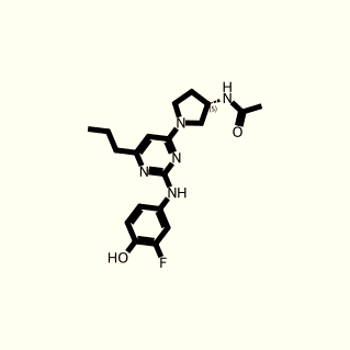 CCCc1cc(N2CC[C@H](NC(C)=O)C2)nc(Nc2ccc(O)c(F)c2)n1